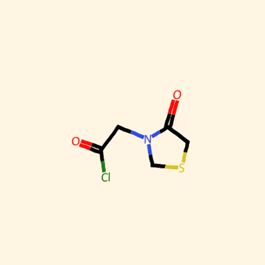 O=C(Cl)CN1CSCC1=O